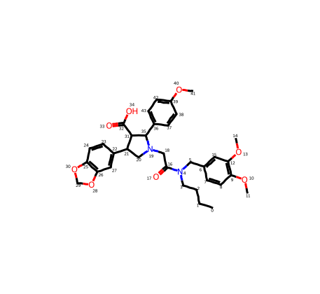 CCCCN(Cc1ccc(OC)c(OC)c1)C(=O)CN1CC(c2ccc3c(c2)OCO3)C(C(=O)O)C1c1ccc(OC)cc1